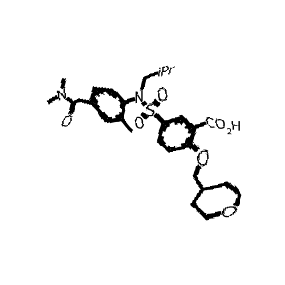 Cc1cc(C(=O)N(C)C)ccc1N(CC(C)C)S(=O)(=O)c1ccc(OCC2CCOCC2)c(C(=O)O)c1